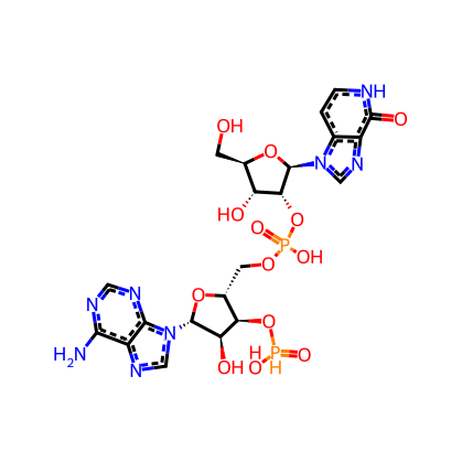 Nc1ncnc2c1ncn2[C@@H]1O[C@H](COP(=O)(O)O[C@@H]2[C@H](O)[C@@H](CO)O[C@H]2n2cnc3c(=O)[nH]ccc32)[C@@H](O[PH](=O)O)[C@H]1O